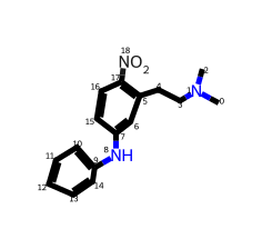 CN(C)CCc1cc(Nc2ccccc2)ccc1[N+](=O)[O-]